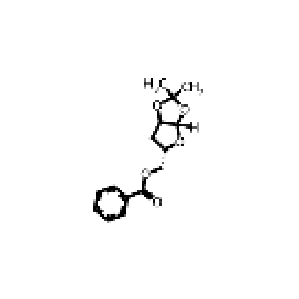 CC1(C)OC2C[C@@H](COC(=O)c3ccccc3)O[C@H]2O1